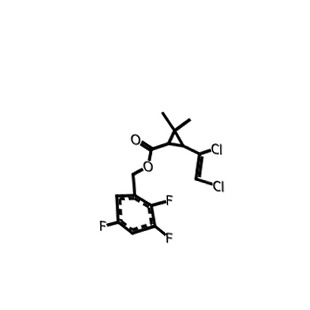 CC1(C)C(C(=O)OCc2cc(F)cc(F)c2F)C1C(Cl)=CCl